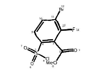 COC(=O)c1c(S(=O)(=O)Cl)ccc(Br)c1F